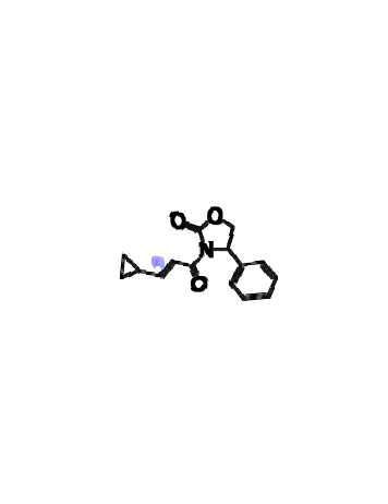 O=C(/C=C/C1CC1)N1C(=O)OCC1c1ccccc1